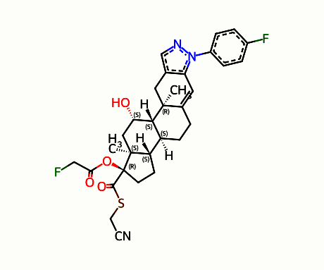 C[C@]12Cc3cnn(-c4ccc(F)cc4)c3C=C1CC[C@@H]1[C@@H]2[C@@H](O)C[C@@]2(C)[C@H]1CC[C@]2(OC(=O)CF)C(=O)SCC#N